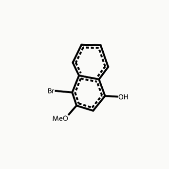 COc1cc(O)c2ccccc2c1Br